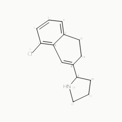 Clc1cccc2c1C=C(C1CCCN1)CC2